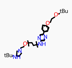 CC(C)(C)COCCCOc1ccc(-c2cnc(NC(C)(C)CCC(C)(C)OCCN3CC[C@H](NC(C)(C)C)C3)cn2)cc1